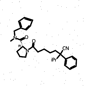 CC(C)C(C#N)(CCCCC(=O)N1CCC[C@@H]1C(=O)N(C)Cc1ccccc1)c1ccccc1